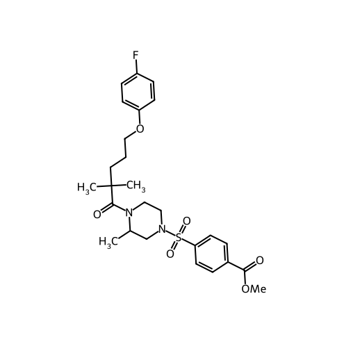 COC(=O)c1ccc(S(=O)(=O)N2CCN(C(=O)C(C)(C)CCCOc3ccc(F)cc3)C(C)C2)cc1